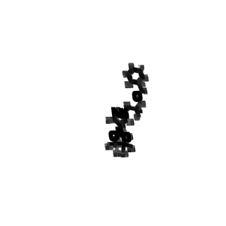 CC(COCc1ccccc1)Cn1cc(B2OC(C)(C)C(C)(C)O2)cn1